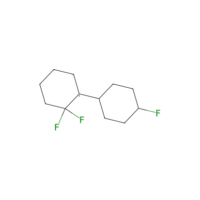 FC1CCC([C]2CCCCC2(F)F)CC1